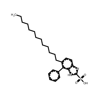 CCCCCCCCCCCCCc1ccc2nc(S(=O)(=O)O)[nH]c2c1-c1ccccc1